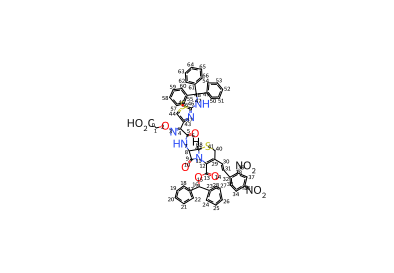 O=C(O)CON=C(C(=O)NC1C(=O)N2C(C(=O)OC(c3ccccc3)c3ccccc3)=C(C=Cc3ccc([N+](=O)[O-])cc3[N+](=O)[O-])CS[C@@H]12)c1csc(NC(c2ccccc2)(c2ccccc2)c2ccccc2)n1